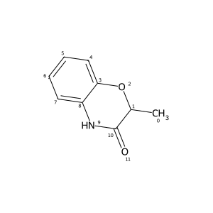 CC1Oc2cc[c]cc2NC1=O